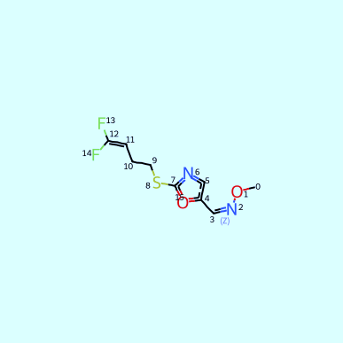 CO/N=C\c1cnc(SCCC=C(F)F)o1